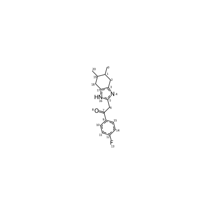 CC1Cc2nc(CC(=O)c3ccc(F)cc3)[nH]c2CC1C